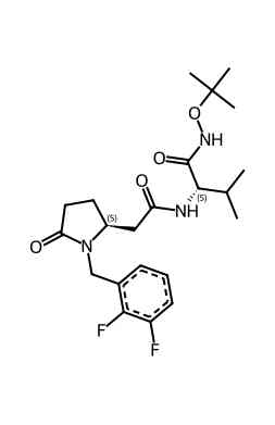 CC(C)[C@H](NC(=O)C[C@@H]1CCC(=O)N1Cc1cccc(F)c1F)C(=O)NOC(C)(C)C